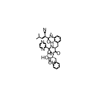 CC(C)C=C(C#N)C(=O)N(C)c1cccc(CC(NC(=O)c2cnccn2)C(=O)N[C@@H](Cc2ccccc2)B(O)O)c1